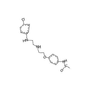 C[S+]([O-])Nc1ccc(OCCNCCNc2ccc(Cl)cc2)cc1